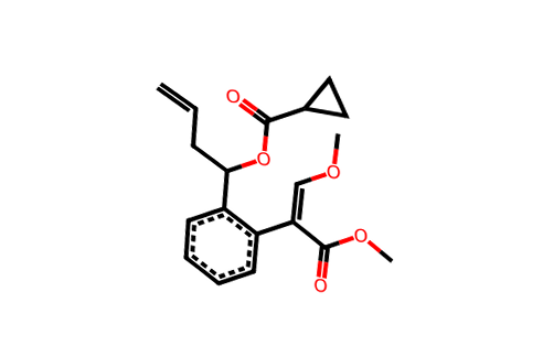 C=CCC(OC(=O)C1CC1)c1ccccc1C(=COC)C(=O)OC